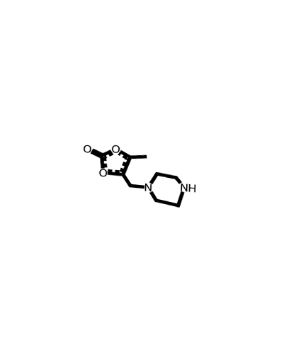 Cc1oc(=O)oc1CN1CCNCC1